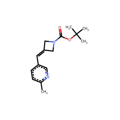 Cc1ccc(C=C2CN(C(=O)OC(C)(C)C)C2)cn1